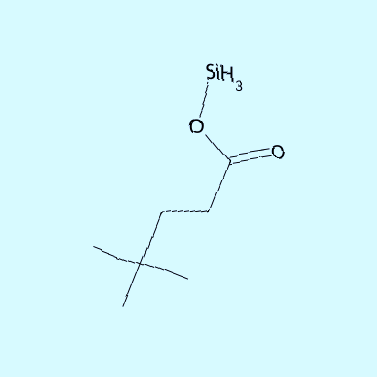 CC(C)(C)CCC(=O)O[SiH3]